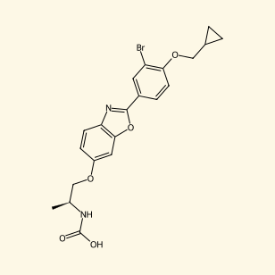 C[C@@H](COc1ccc2nc(-c3ccc(OCC4CC4)c(Br)c3)oc2c1)NC(=O)O